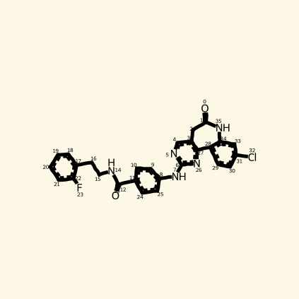 O=C1Cc2cnc(Nc3ccc(C(=O)NCCc4ccccc4F)cc3)nc2-c2ccc(Cl)cc2N1